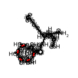 CC(C)[C@H](NC(=O)[C@@H](CCCCNC(=O)COC1CCCCCc2c1nnn2CC1OC2OC3C(CO)OC(OC4C(CO)OC(OC5C(CO)OC(OC6C(CO)OC(OC7C(CO)OC(OC1C(O)C2O)C(O)C7O)C(O)C6O)C(O)C5O)C(O)C4O)C(O)C3O)NC(=O)CCOCCOCCOCCOCCC1C(=O)C=CC1=O)C(=O)N[C@@H](CCCNC(N)=O)C(=O)Nc1ccc(COC(=O)S)cc1